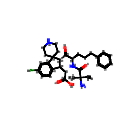 CC(C)(N)C(=O)N[C@H](CCCc1ccccc1)C(=O)[C@@H]1C(CC(=O)O)c2ccc(F)cc2C12CCNCC2